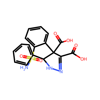 NS(=O)(=O)c1ccccc1C1(C(=O)O)C(C(=O)O)=NNC1c1ccccc1